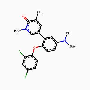 CSN(C)c1ccc(Oc2ccc(F)cc2F)c(-c2cc(C)c(=O)n(C)c2)c1